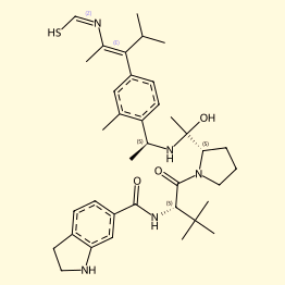 CC(/N=C\S)=C(\c1ccc([C@H](C)NC(C)(O)[C@@H]2CCCN2C(=O)[C@@H](NC(=O)c2ccc3c(c2)NCC3)C(C)(C)C)c(C)c1)C(C)C